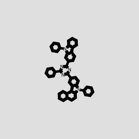 c1ccc(-c2nc(-c3ccc4c(c3)c3c5ccccc5ccc3n4-c3ccccc3)nc(-c3ccc4c5ccccc5n(-c5ccccc5)c4c3)n2)cc1